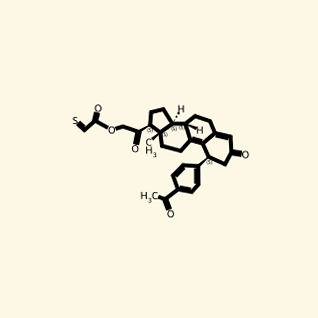 CC(=O)c1ccc([C@@H]2CC(=O)C=C3CC[C@@H]4C(=C32)CC[C@]2(C)[C@@H](C(=O)COC(=O)C=S)CC[C@@H]42)cc1